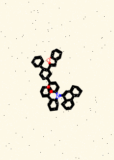 c1ccc(-c2ccc(-c3ccc(N(c4ccccc4-c4ccccc4)c4cc5ccccc5c5ccccc45)cc3)cc2-c2cc3ccccc3o2)cc1